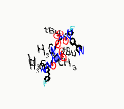 C[C@@H]1CN(CC(=O)N2CC(C)(C)c3ncc(Cc4ccc(F)cc4)cc32)[C@@H](CN(C)CCOCCN(C(=O)OC(C)(C)C)[C@H](Cc2cccc(F)c2)C(=O)Nc2ccc(-c3ccncc3)cc2)CN1C(=O)OC(C)(C)C